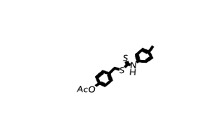 CC(=O)Oc1ccc(CSC(=S)Nc2ccc(C)cc2)cc1